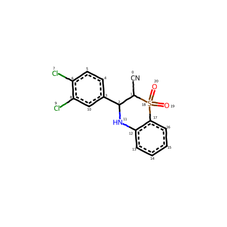 N#CC1C(c2ccc(Cl)c(Cl)c2)Nc2ccccc2S1(=O)=O